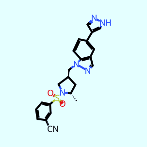 C[C@H]1C[C@H](Cn2ncc3cc(-c4cn[nH]c4)ccc32)CN1S(=O)(=O)c1cccc(C#N)c1